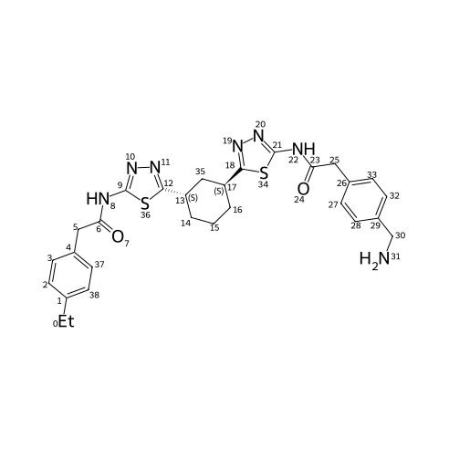 CCc1ccc(CC(=O)Nc2nnc([C@H]3CCC[C@H](c4nnc(NC(=O)Cc5ccc(CN)cc5)s4)C3)s2)cc1